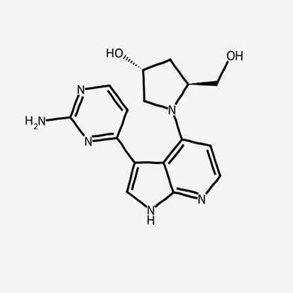 Nc1nccc(-c2c[nH]c3nccc(N4C[C@H](O)C[C@H]4CO)c23)n1